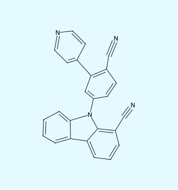 N#Cc1ccc(-n2c3ccccc3c3cccc(C#N)c32)cc1-c1ccncc1